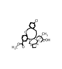 COC(=O)c1ccc2c(c1)N(C[C@@H]1CC[C@H]1[C@H]1C[C@H](O)[C@@H](C)CO1)CCCCc1cc(Cl)ccc1CO2